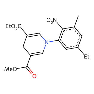 CCOC(=O)C1=CN(c2cc(CC)cc(C)c2[N+](=O)[O-])C=C(C(=O)OC)C1